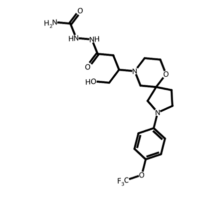 NC(=O)NNC(=O)CC(CO)N1CCOC2(CCN(c3ccc(OC(F)(F)F)cc3)C2)C1